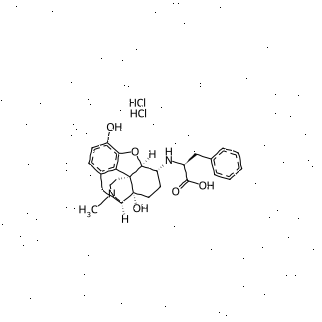 CN1CC[C@]23c4c5ccc(O)c4O[C@H]2[C@H](N[C@@H](Cc2ccccc2)C(=O)O)CC[C@@]3(O)[C@H]1C5.Cl.Cl